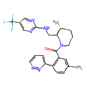 Cc1ccc(-c2cccnn2)c(C(=O)N2CCC[C@@H](C)C2CNc2ncc(C(F)(F)F)cn2)c1